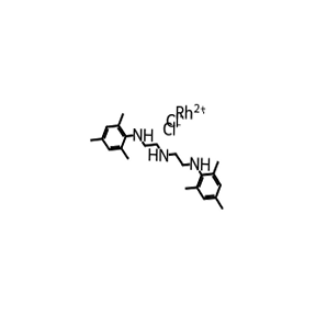 Cc1cc(C)c(NCCNCCNc2c(C)cc(C)cc2C)c(C)c1.[Cl-].[Cl-].[Rh+2]